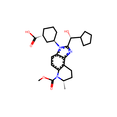 COC(=O)N1c2ccc3c(nc([C@H](O)C4CCCC4)n3[C@@H]3CCC[C@@H](C(=O)O)C3)c2CC[C@@H]1C